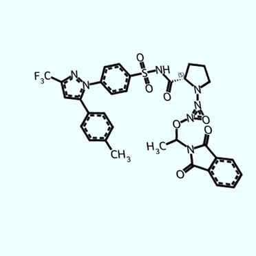 Cc1ccc(-c2cc(C(F)(F)F)nn2-c2ccc(S(=O)(=O)NC(=O)[C@@H]3CCCN3n3on3OC(C)N3C(=O)c4ccccc4C3=O)cc2)cc1